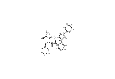 NC(=O)C(=O)C(CC1CCCCC1)NC(=O)c1cccnc1-n1ccc(-c2ccccc2)n1